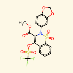 COC(=O)C1=C(OS(=O)(=O)C(F)(F)F)c2ccccc2S(=O)(=O)N1c1ccc2c(c1)OCO2